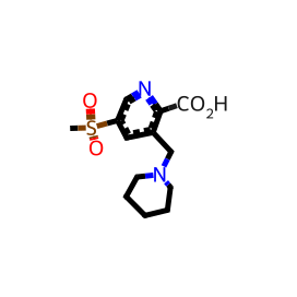 CS(=O)(=O)c1cnc(C(=O)O)c(CN2CCCCC2)c1